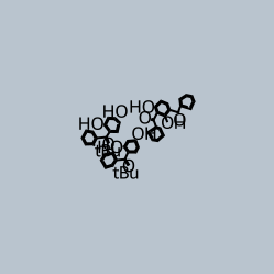 CC(C)(C)c1ccccc1C(=O)c1ccc(O)cc1O.CC(C)(C)c1ccccc1C(=O)c1ccc(O)cc1O.O=C(c1ccccc1)c1ccc(O)c(C(=O)c2ccccc2)c1O